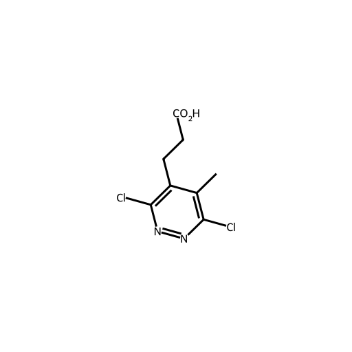 Cc1c(Cl)nnc(Cl)c1CCC(=O)O